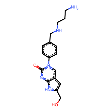 NCCCNCc1ccc(-n2cc3cc(CO)[nH]c3nc2=O)cc1